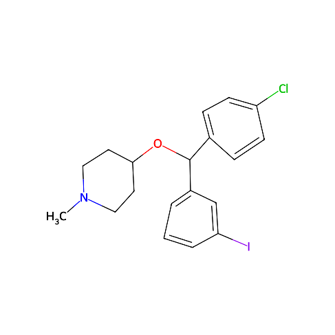 CN1CCC(OC(c2ccc(Cl)cc2)c2cccc(I)c2)CC1